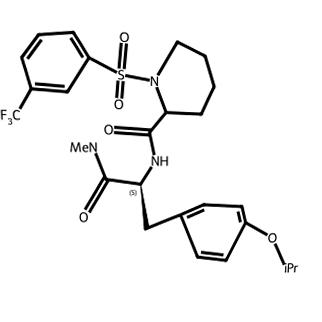 CNC(=O)[C@H](Cc1ccc(OC(C)C)cc1)NC(=O)C1CCCCN1S(=O)(=O)c1cccc(C(F)(F)F)c1